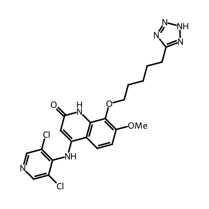 COc1ccc2c(Nc3c(Cl)cncc3Cl)cc(=O)[nH]c2c1OCCCCCc1nn[nH]n1